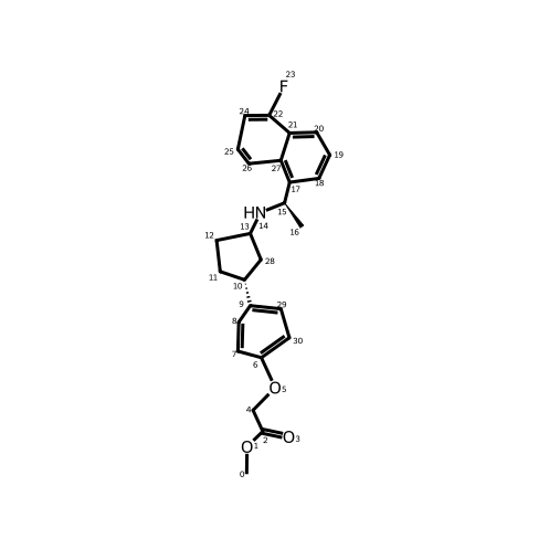 COC(=O)COc1ccc([C@@H]2CCC(N[C@H](C)c3cccc4c(F)cccc34)C2)cc1